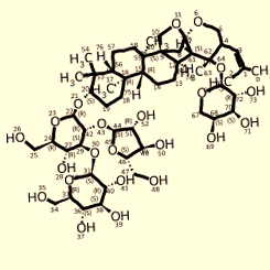 CC(C)=CC1CO[C@]23C[C@]4(CO2)[C@H](CC[C@@H]2[C@@]5(C)CC[C@H](O[C@@H]6O[C@H](CO)[C@@H](O)[C@H](O[C@@H]7O[C@H](CO)[C@@H](O)[C@H](O)[C@H]7O)[C@H]6O[C@@H]6O[C@@H](CO)[C@H](O)[C@H]6O)C(C)(C)[C@@H]5CC[C@]24C)[C@H]3[C@@]1(C)O[C@@H]1OC[C@H](O)[C@H](O)[C@H]1O